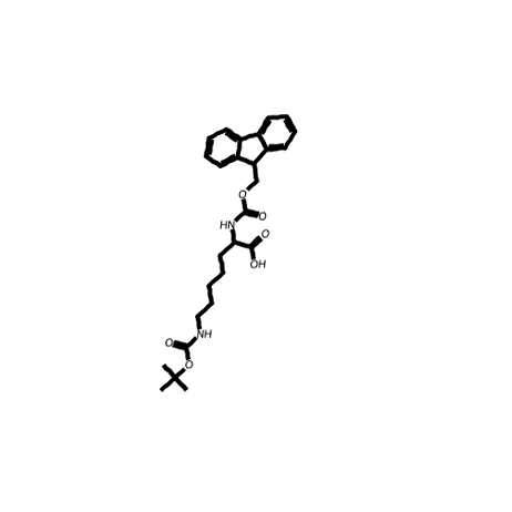 CC(C)(C)OC(=O)NCCCCCC(NC(=O)OCC1c2ccccc2-c2ccccc21)C(=O)O